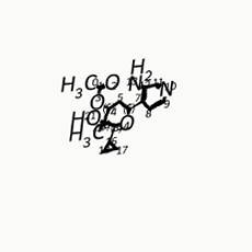 CC(=O)O[C@H]1C[C@@H](c2ccncc2N)O[C@@H](C2CC2)[C@]1(C)O